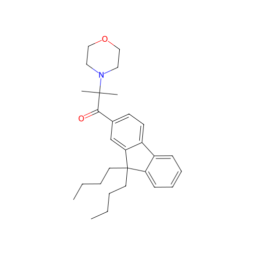 CCCCC1(CCCC)c2ccccc2-c2ccc(C(=O)C(C)(C)N3CCOCC3)cc21